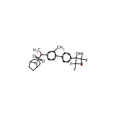 CCS(=O)(=O)N1C2CCC1CN(Cc1ccc(-c3ccc(C(O)(C(F)(F)F)C(F)(F)F)cc3)c(C)c1)C2